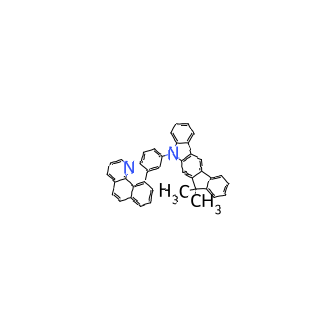 CC1(C)c2ccccc2-c2cc3c4ccccc4n(-c4cccc(-c5cccc6ccc7cccnc7c56)c4)c3cc21